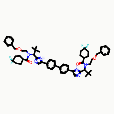 CC(C)(C)C(c1ncc(-c2ccc(-c3ccc(-c4cnc([C@@H](N(CCOCc5ccccc5)C(=O)C5CCC(F)(F)CC5)C(C)(C)C)[nH]4)cc3)cc2)[nH]1)N(CCOCc1ccccc1)C(=O)C1CCC(F)(F)CC1